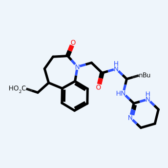 CCCCC(NC(=O)CN1C(=O)CCC(CC(=O)O)c2ccccc21)NC1=NCCCN1